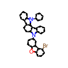 Brc1cccc2oc3ccc(-n4c5ccccc5c5c4ccc4c6ccccc6n(-c6ccccc6)c45)cc3c12